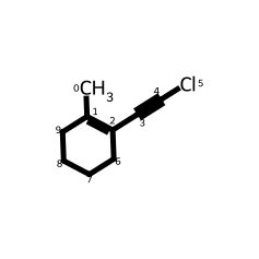 CC1=C(C#CCl)CCCC1